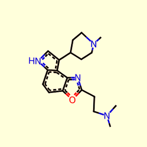 CN(C)CCc1nc2c(ccc3[nH]cc(C4CCN(C)CC4)c32)o1